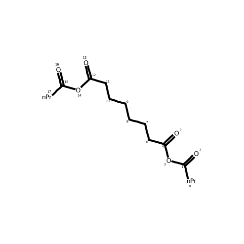 CCCC(=O)OC(=O)CCCCCCC(=O)OC(=O)CCC